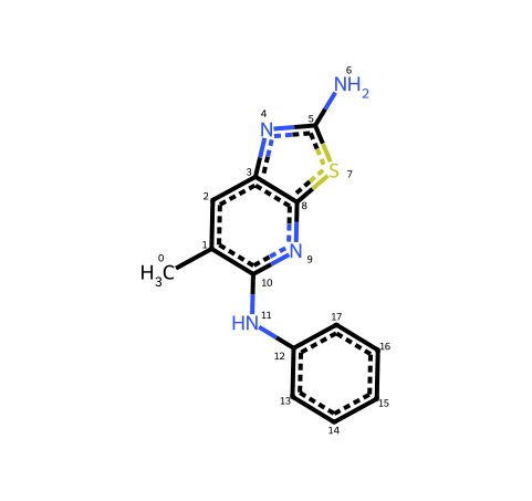 Cc1cc2nc(N)sc2nc1Nc1ccccc1